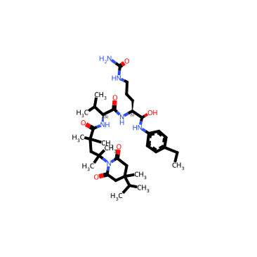 CCc1ccc(NC(O)[C@H](CCCNC(N)=O)NC(=O)[C@@H](NC(=O)C(C)(C)CC(C)(C)N2C(=O)CC(C)(C(C)C)CC2=O)C(C)C)cc1